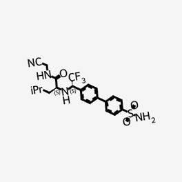 CC(C)C[C@H](N[C@@H](c1ccc(-c2ccc(S(N)(=O)=O)cc2)cc1)C(F)(F)F)C(=O)NCC#N